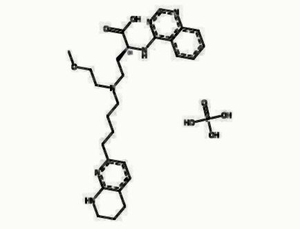 COCCN(CCCCc1ccc2c(n1)NCCC2)CC[C@H](Nc1ncnc2ccccc12)C(=O)O.O=P(O)(O)O